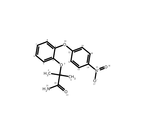 CC(C)(Oc1ccccc1Oc1ccc([N+](=O)[O-])cc1)C(N)=O